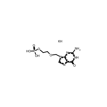 Nc1nc2c(ncn2COCCOP(=O)(O)O)c(=O)[nH]1.[KH]